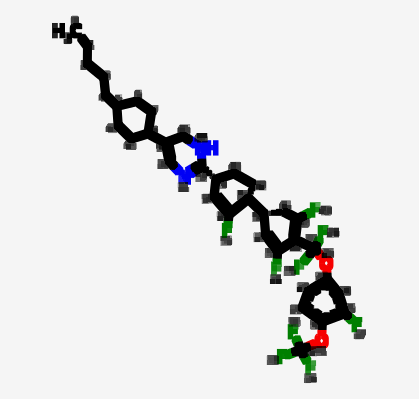 CCCCCC1CCC(C2=CN=C([C@H]3C=C(F)[C@@H]([C@H]4C=C(F)C(C(F)(F)Oc5ccc(OC(F)(F)F)c(F)c5)=C(F)C4)CC3)NC2)CC1